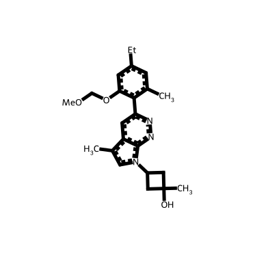 CCc1cc(C)c(-c2cc3c(C)cn(C4CC(C)(O)C4)c3nn2)c(OCOC)c1